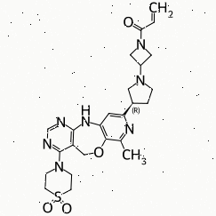 C=CC(=O)N1CC(N2CC[C@@H](c3cc4c(c(C)n3)OCc3c(ncnc3N3CCS(=O)(=O)CC3)N4)C2)C1